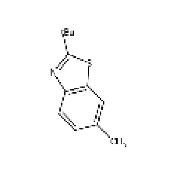 Cc1ccc2nc(C(C)(C)C)sc2c1